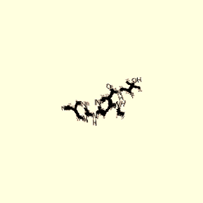 CCNc1cc(Nc2ncc(C#N)cn2)ncc1C(=O)NCC(F)C(C)(C)O